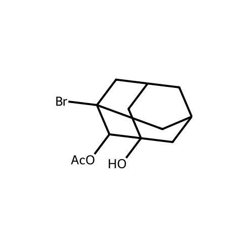 CC(=O)OC1C2(O)CC3CC(C2)CC1(Br)C3